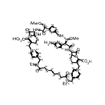 CCN(Cc1cc[n+](CC2=C(C(=O)O)N3C(=O)C(NC(=O)/C(=N\OC)c4csc(N)n4)C3SC2)cc1)C(=O)CSCCSCC(=O)N(CC)Cc1cc[n+](CC2=C(C(=O)O)N3C(=O)[C@@H](NC(=O)/C(=N\OC)c4csc(N)n4)[C@H]3SC2)cc1